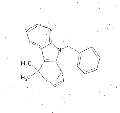 CC1(C)c2c(n(Cc3ccccc3)c3ccccc23)C2C=CC1C2